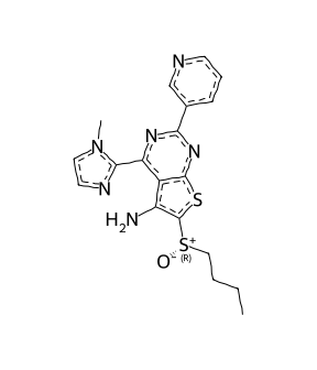 CCCC[S@+]([O-])c1sc2nc(-c3cccnc3)nc(-c3nccn3C)c2c1N